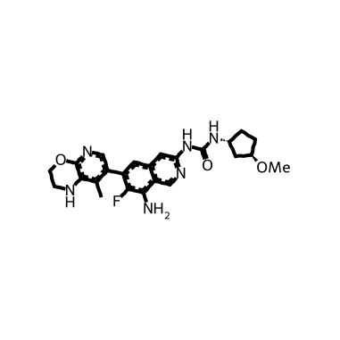 CO[C@@H]1CC[C@@H](NC(=O)Nc2cc3cc(-c4cnc5c(c4C)NCCO5)c(F)c(N)c3cn2)C1